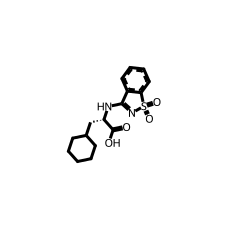 O=C(O)[C@H](CC1CCCCC1)NC1=NS(=O)(=O)c2ccccc21